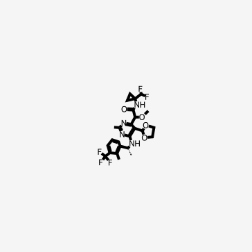 COC(C(=O)NC1(C(F)F)CC1)c1nc(C)nc(N[C@H](C)c2cccc(C(F)(F)F)c2C)c1C1OCCO1